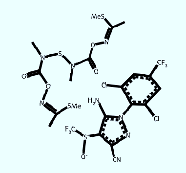 CS/C(C)=N\OC(=O)N(C)SN(C)C(=O)O/N=C(/C)SC.N#Cc1nn(-c2c(Cl)cc(C(F)(F)F)cc2Cl)c(N)c1[S+]([O-])C(F)(F)F